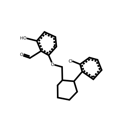 O=Cc1c(O)cccc1OCC1CCCCC1c1ccccc1Cl